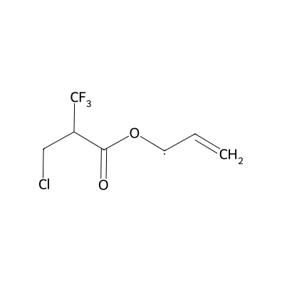 C=C[CH]OC(=O)C(CCl)C(F)(F)F